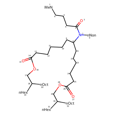 CCCCCCCCCN(C(=O)CCCNC)C(CCCCCC(=O)OCC(CCCCCC)CCCCCCCC)CCCCCC(=O)OCC(CCCCCC)CCCCCCCC